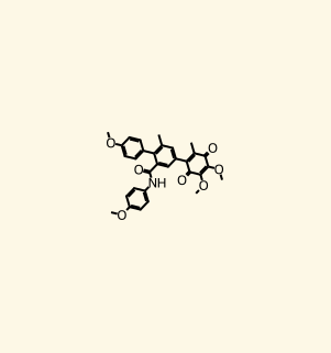 COC1=C(OC)C(=O)C(c2cc(C)c(-c3ccc(OC)cc3)c(C(=O)Nc3ccc(OC)cc3)c2)=C(C)C1=O